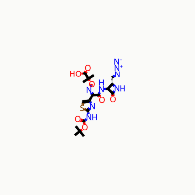 CC(C)(C)OC(=O)Nc1nc(/C(=N/OC(C)(C)C(=O)O)C(=O)NC2C(=O)N[C@H]2CN=[N+]=[N-])cs1